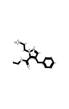 CCOC(=O)c1c(Cc2ccccc2)cnn1CCN